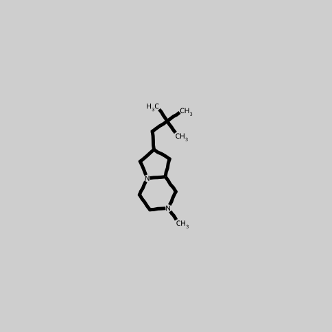 CN1CCN2CC(CC(C)(C)C)CC2C1